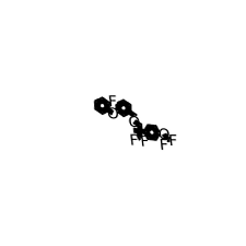 CC(COCc1ccc(F)c(Oc2ccccc2)c1)(c1ccc(OC(F)F)cc1)C(F)F